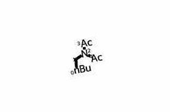 CCCCCN(C(C)=O)C(C)=O